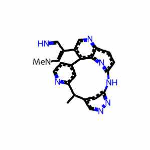 CN/C=C(\C=N)c1cnc2ccc3nc2c1-c1ccnc(c1)C(C)c1cnnc(c1)N3